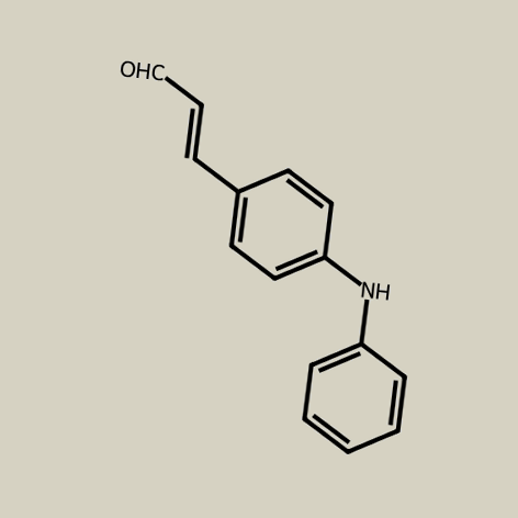 O=CC=Cc1ccc(Nc2ccccc2)cc1